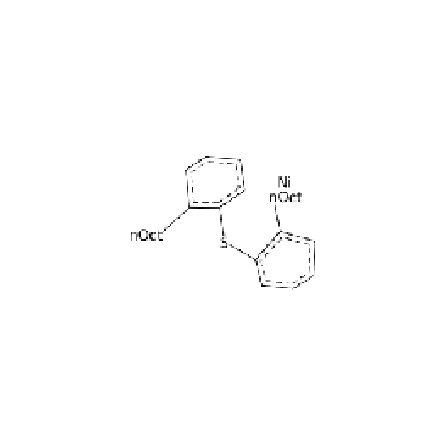 CCCCCCCCc1ccccc1Sc1ccccc1CCCCCCCC.[Ni]